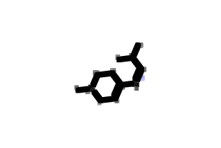 CC(C)/C=N\C1=CCN(C)CC1